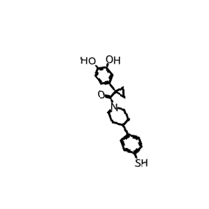 O=C(N1CCC(c2ccc(S)cc2)CC1)C1(c2ccc(O)c(O)c2)CC1